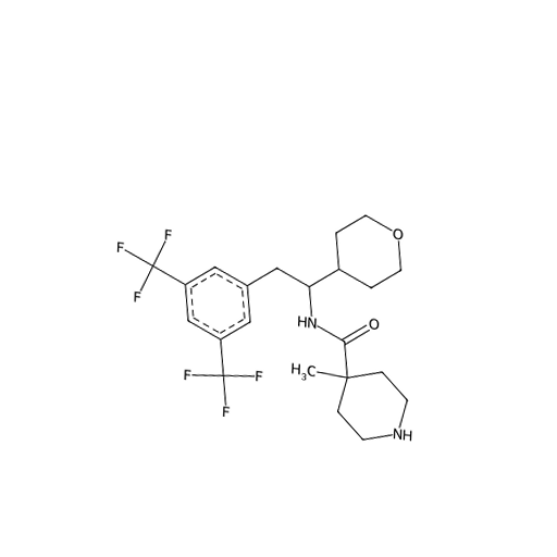 CC1(C(=O)NC(Cc2cc(C(F)(F)F)cc(C(F)(F)F)c2)C2CCOCC2)CCNCC1